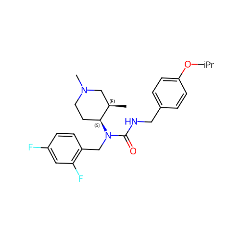 CC(C)Oc1ccc(CNC(=O)N(Cc2ccc(F)cc2F)[C@H]2CCN(C)C[C@H]2C)cc1